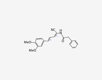 COc1ccc(/C=C/C=C(\C#N)NC(=O)Cc2ccccc2)cc1OC